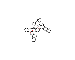 CC1(C)c2cc(-c3c(-c4ccccc4)cccc3N(c3ccc4ccccc4c3)c3ccccc3-c3cccc4c3oc3ccccc34)ccc2-c2cc3ccccc3cc21